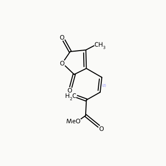 C=C(/C=C\C1=C(C)C(=O)OC1=O)C(=O)OC